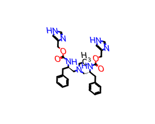 CCN(C[C@@H](Cc1ccccc1)NC(=O)OCc1c[nH]cn1)C[C@@H](Cc1ccccc1)NC(=O)OCc1c[nH]cn1